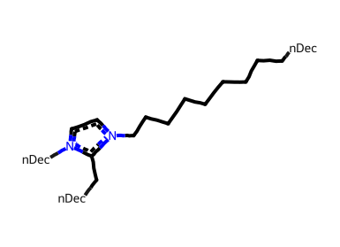 CCCCCCCCCCCCCCCCCCCn1cc[n+](CCCCCCCCCC)c1CCCCCCCCCCC